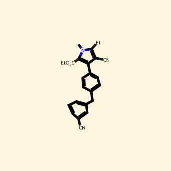 CCOC(=O)c1c(-c2ccc(Cc3cccc(C#N)c3)cc2)c(C#N)c(CC)n1C